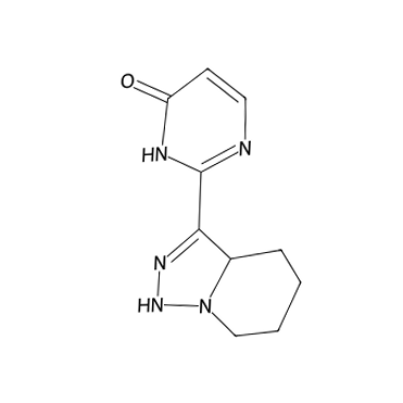 O=c1ccnc(C2=NNN3CCCCC23)[nH]1